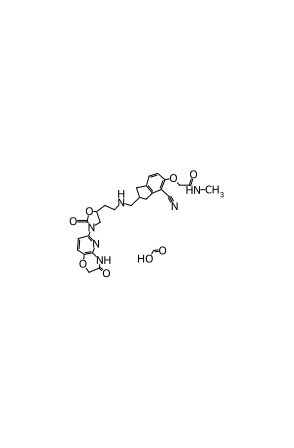 CNC(=O)COc1ccc2c(c1C#N)CC(CNCCC1CN(c3ccc4c(n3)NC(=O)CO4)C(=O)O1)C2.O=CO